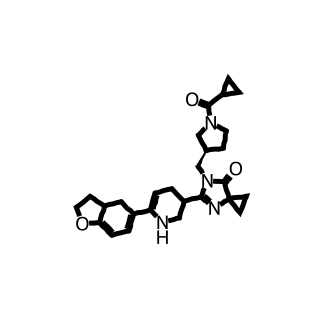 O=C(C1CC1)N1CC[C@@H](CN2C(=O)C3(CC3)N=C2C2CC=C(C3=CC=C4OCCC4C3)NC2)C1